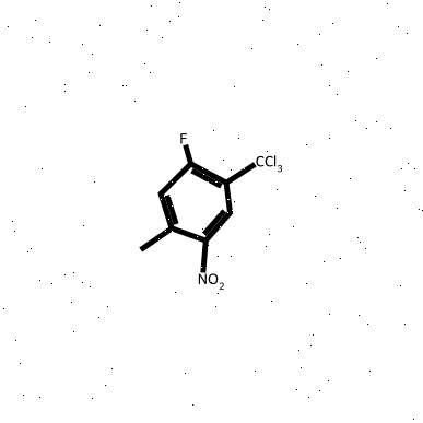 Cc1cc(F)c(C(Cl)(Cl)Cl)cc1[N+](=O)[O-]